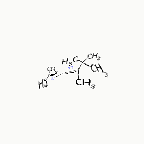 C/C(S)=C\C=C(/C)C(C)(C)C